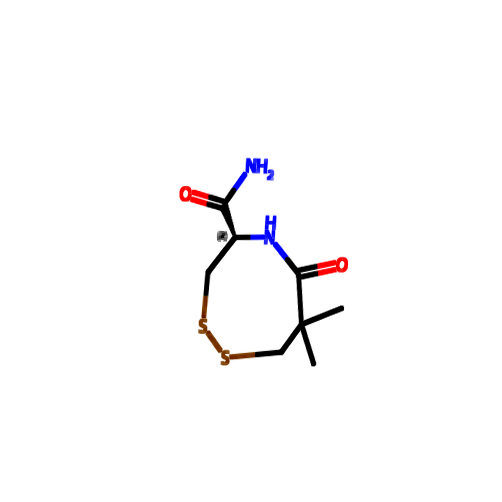 CC1(C)CSSC[C@@H](C(N)=O)NC1=O